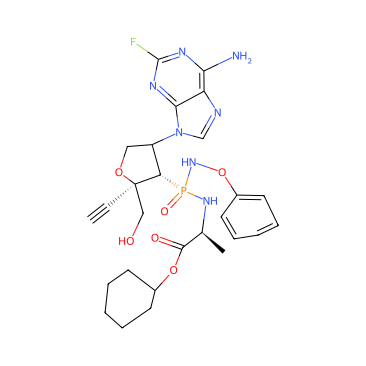 C#C[C@]1(CO)OCC(n2cnc3c(N)nc(F)nc32)[C@@H]1P(=O)(NOc1ccccc1)N[C@@H](C)C(=O)OC1CCCCC1